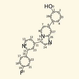 Oc1cccc(-c2ccn3c(-c4ccnc(-c5ccc(F)cc5)c4)cnc3c2)c1